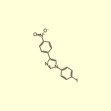 O=[N+]([O-])c1ccc(-c2cn(-c3ccc(I)cc3)cn2)cc1